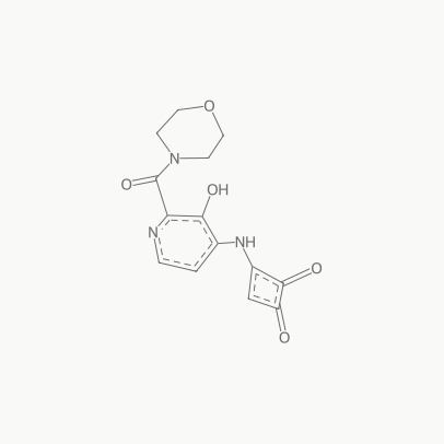 O=C(c1nccc(Nc2cc(=O)c2=O)c1O)N1CCOCC1